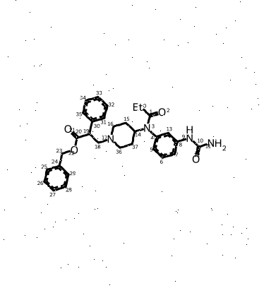 CCC(=O)N(c1cccc(NC(N)=O)c1)C1CCN(CC(C(=O)OCc2ccccc2)c2ccccc2)CC1